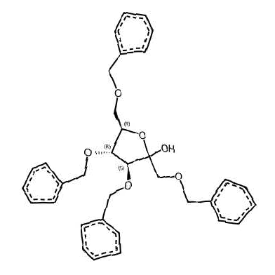 OC1(COCc2ccccc2)O[C@H](COCc2ccccc2)[C@@H](OCc2ccccc2)[C@@H]1OCc1ccccc1